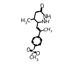 C/C(=C\C1NNC(=O)CC1C)c1ccc(S(C)(=O)=O)cc1